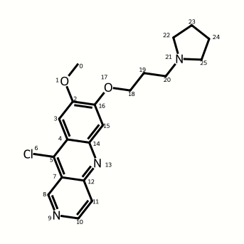 COc1cc2c(Cl)c3cnccc3nc2cc1OCCCN1CCCC1